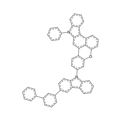 c1ccc(-c2cccc(-c3ccc4c(c3)c3ccccc3n4-c3ccc4c(c3)Oc3cccc5c3c-4cc3c5c4ccccc4n3-c3ccccc3)c2)cc1